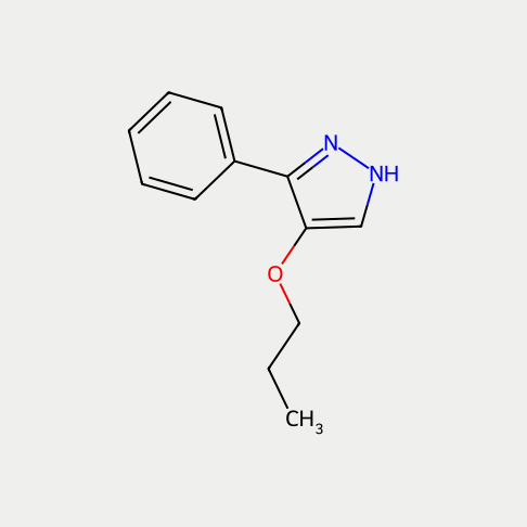 CCCOc1c[nH]nc1-c1ccccc1